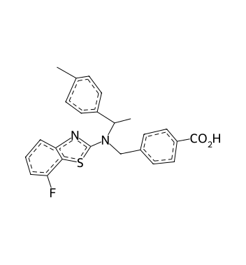 Cc1ccc(C(C)N(Cc2ccc(C(=O)O)cc2)c2nc3cccc(F)c3s2)cc1